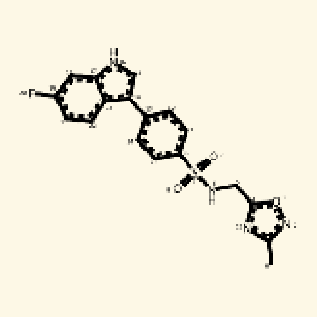 Cc1noc(CNS(=O)(=O)c2ccc(-c3c[nH]c4cc(F)ccc34)cc2)n1